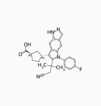 CC(C)(CC#N)c1c([C@@H]2CC[C@@H](C(=O)O)C2)c2cc3[nH]ncc3cc2n1-c1ccc(F)cc1